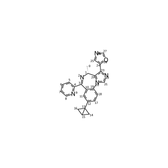 C[C@H]1N=C(c2ccccn2)c2cc(C34CC3C4)ccc2-n2cnc(-c3cnco3)c21